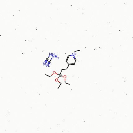 CCO[Si](CCc1cc[n+](CC)cc1)(OCC)OCC.N#CN.N#CN